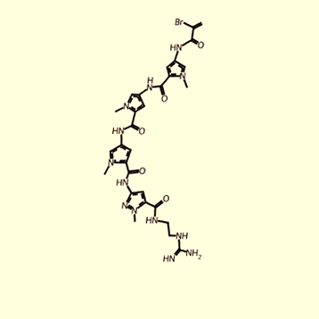 C=C(Br)C(=O)Nc1cc(C(=O)Nc2cc(C(=O)Nc3cc(C(=O)Nc4cc(C(=O)NCCNC(=N)N)n(C)n4)n(C)c3)n(C)c2)n(C)c1